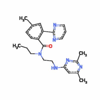 CCCN(CCNc1cc(C)nc(C)n1)C(=O)c1ccc(C)cc1-c1ncccn1